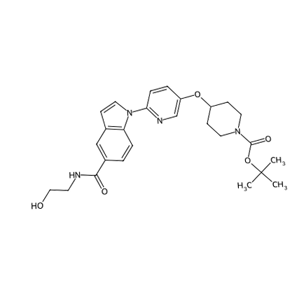 CC(C)(C)OC(=O)N1CCC(Oc2ccc(-n3ccc4cc(C(=O)NCCO)ccc43)nc2)CC1